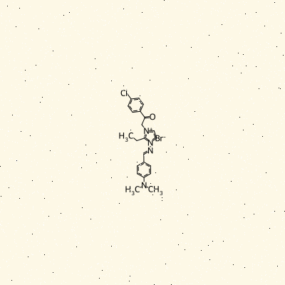 CCc1n(N=Cc2ccc(N(C)C)cc2)cc[n+]1CC(=O)c1ccc(Cl)cc1.[Br-]